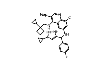 N#Cc1cnc2c(Cl)cc(NC(C3=CN(C4CC4)NN3)c3ccc(F)cc3)cc2c1NCC1(C2CC2)CCC1